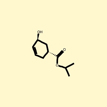 CC(C)OC(=O)[C@@H]1CC=C[C@@H](O)C1